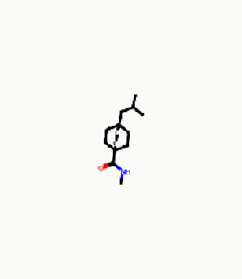 CNC(=O)C12CCC(CC(C)C)(CC1)CC2